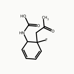 CC(=O)CC1(F)C=CC=CC1NC(=O)O